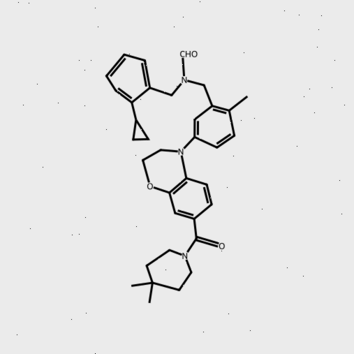 Cc1ccc(N2CCOc3cc(C(=O)N4CCC(C)(C)CC4)ccc32)cc1CN(C=O)Cc1ccccc1C1CC1